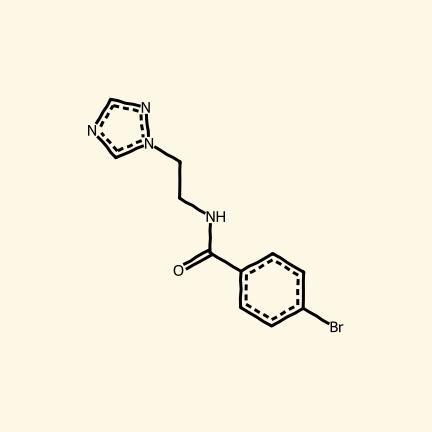 O=C(NCCn1cncn1)c1ccc(Br)cc1